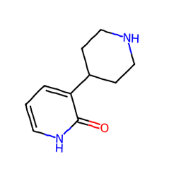 O=c1[nH]cccc1C1CCNCC1